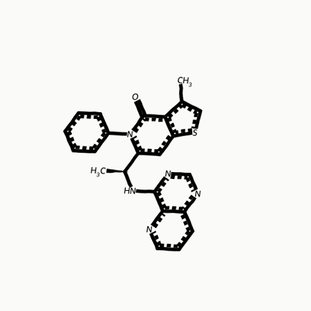 Cc1csc2cc([C@H](C)Nc3ncnc4cccnc34)n(-c3ccccc3)c(=O)c12